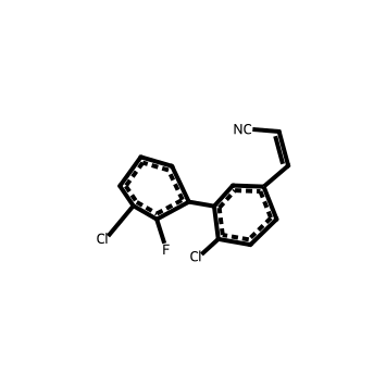 N#C/C=C\c1ccc(Cl)c(-c2cccc(Cl)c2F)c1